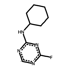 Fc1n[c]nc(NC2CCCCC2)n1